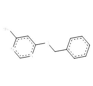 CC(C)(C)c1cc(OCc2ccccc2)ncn1